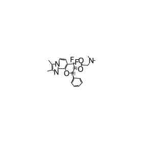 Cc1nc2c3c(ccn2c1C)C(F)(F)[C@H](OC(=O)CN(C)C)[C@@H](c1ccccc1)O3